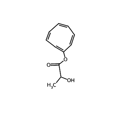 CC(O)C(=O)OC1=CC=CC=CC=C1